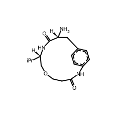 CC(C)[C@H]1COCCC(=O)Nc2ccc(cc2)C[C@@H](N)C(=O)N1